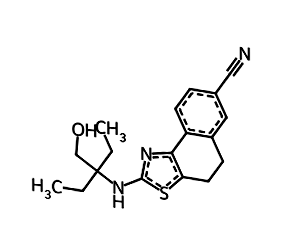 CCC(CC)(CO)Nc1nc2c(s1)CCc1cc(C#N)ccc1-2